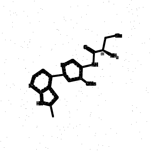 COc1cc(-c2ccnc3[nH]c(C)cc23)ncc1NC(=O)[C@H](N)CC(C)(C)C